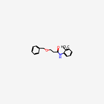 O=C(CCOCc1ccccc1)Nc1ccccc1C(=O)O